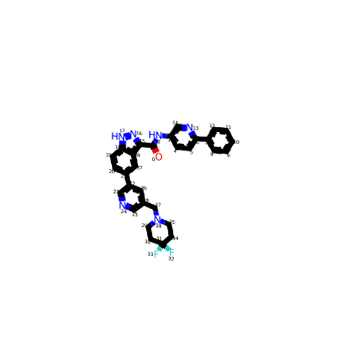 O=C(Nc1ccc(-c2ccccc2)nc1)c1n[nH]c2ccc(-c3cncc(CN4CCC(F)(F)CC4)c3)cc12